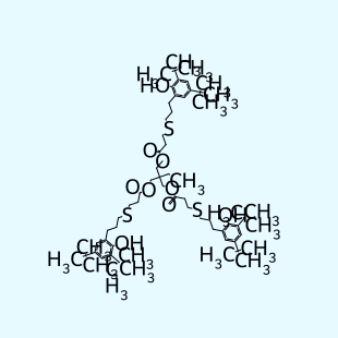 CCC(COC(=O)CCSCCCc1cc(C(C)(C)C)cc(C(C)(C)C)c1O)(COC(=O)CCSCCCc1cc(C(C)(C)C)cc(C(C)(C)C)c1O)COC(=O)CCSCCCc1cc(C(C)(C)C)cc(C(C)(C)C)c1O